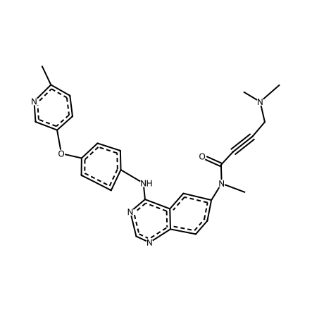 Cc1ccc(Oc2ccc(Nc3ncnc4ccc(N(C)C(=O)C#CCN(C)C)cc34)cc2)cn1